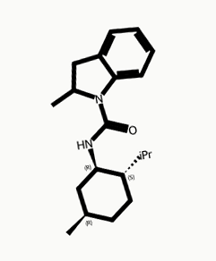 CC(C)[C@@H]1CC[C@@H](C)C[C@H]1NC(=O)N1c2ccccc2CC1C